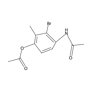 CC(=O)Nc1ccc(OC(C)=O)c(C)c1Br